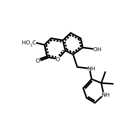 CC1(C)NC=CC=C1NCc1c(O)ccc2cc(C(=O)O)c(=O)oc12